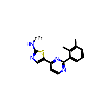 CCCNc1ncc(-c2ccnc(-c3cccc(C)c3C)n2)s1